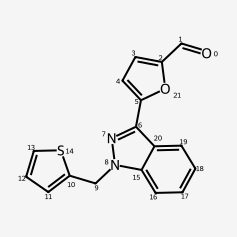 O=Cc1ccc(-c2nn(Cc3cccs3)c3ccccc23)o1